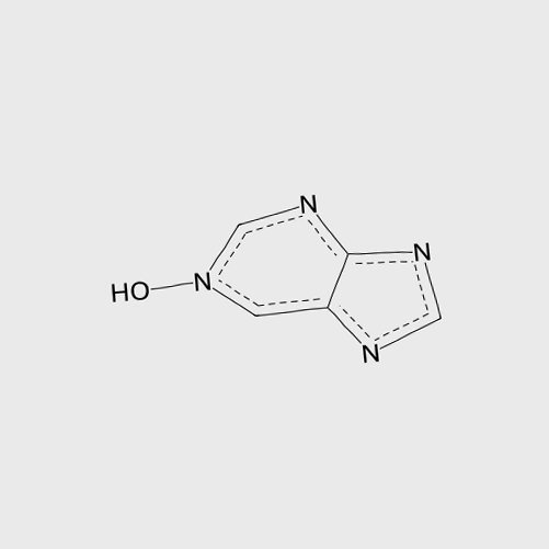 On1cnc2ncnc-2c1